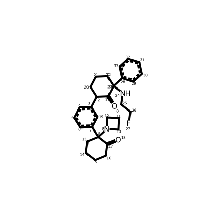 O=C1C(c2cccc(C3(N4CCC4)CCCCC3=O)c2)CCCC1(NCCF)c1ccccc1